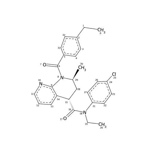 CCc1ccc(C(=O)N2c3ncccc3[C@@H](C(=O)N(CC)c3ccc(Cl)cc3)C[C@@H]2C)cc1